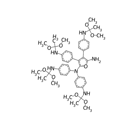 COC(C)(Nc1ccc(-c2c(N)oc(N(c3ccc(NC(C)(OC)OC)cc3)c3ccc(NC(C)(OC)OC)cc3)c2-c2ccc(NC(C)(OC)OC)cc2)cc1)OC